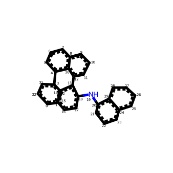 c1ccc(-c2cccc3cccc(-c4ccccc4Nc4cccc5ccccc45)c23)cc1